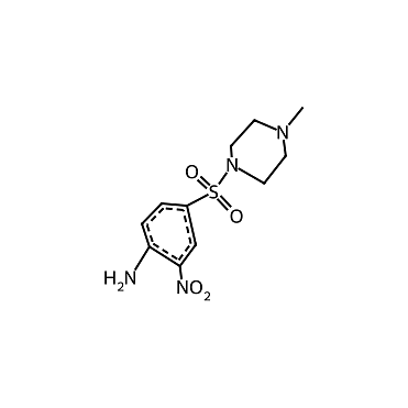 CN1CCN(S(=O)(=O)c2ccc(N)c([N+](=O)[O-])c2)CC1